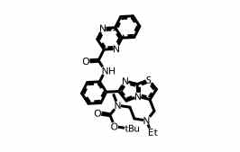 CCN(CCN(C)C(=O)OC(C)(C)C)Cc1csc2nc(-c3ccccc3NC(=O)c3cnc4ccccc4n3)cn12